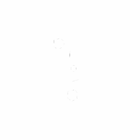 CC(/C=C/c1ccccc1)OC/C=C/c1ccccc1